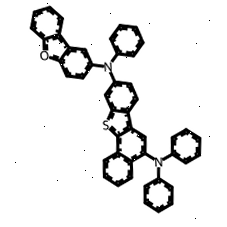 c1ccc(N(c2ccc3c(c2)sc2c4ccccc4c(N(c4ccccc4)c4ccccc4)cc32)c2ccc3oc4ccccc4c3c2)cc1